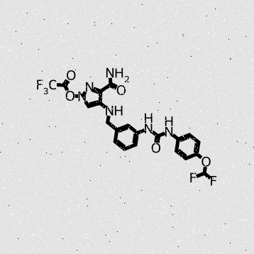 NC(=O)c1nn(OC(=O)C(F)(F)F)cc1NCc1cccc(NC(=O)Nc2ccc(OC(F)F)cc2)c1